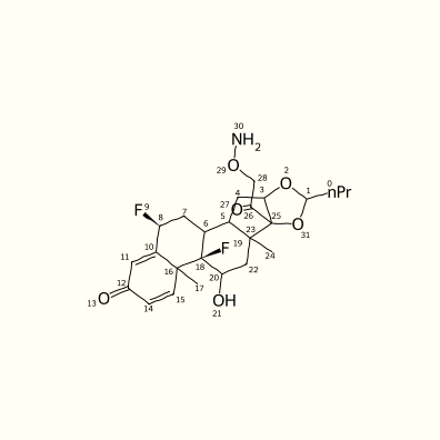 CCCC1OC2CC3C4C[C@H](F)C5=CC(=O)C=CC5(C)[C@@]4(F)C(O)CC3(C)C2(C(=O)CON)O1